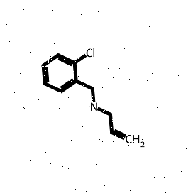 C=CC[N]Cc1ccccc1Cl